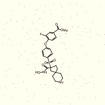 COC(=O)c1ccc(Oc2ccc(S(=O)(=O)C3(C(=O)NO)CCC4(CCNCC4)C3)cc2)c(F)c1